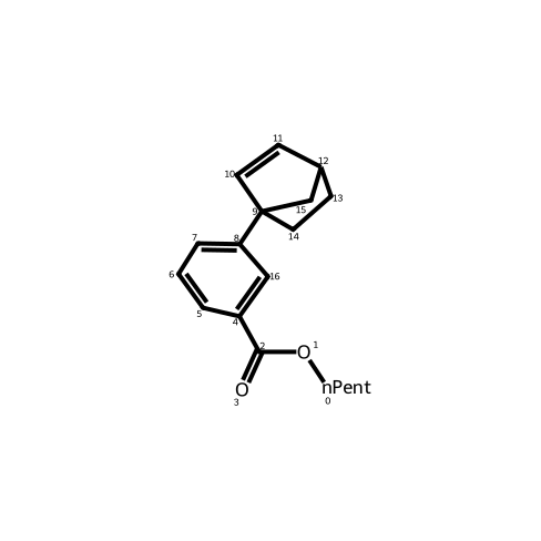 CCCCCOC(=O)c1cccc(C23C=CC(CC2)C3)c1